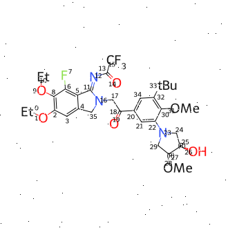 CCOc1cc2c(c(F)c1OCC)C(=NC(=O)C(F)(F)F)N(CC(=O)c1cc(N3C[C@@H](O)[C@H](OC)C3)c(OC)c(C(C)(C)C)c1)C2